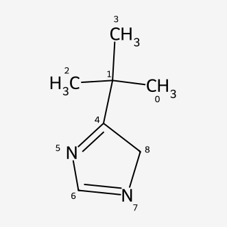 CC(C)(C)C1=NC=NC1